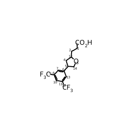 O=C(O)CCC1CC(c2cc(C(F)(F)F)cc(C(F)(F)F)c2)CO1